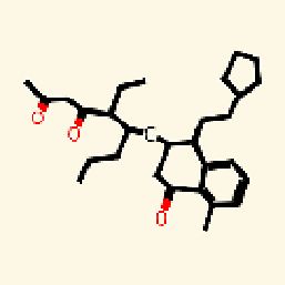 CCCC(CC1CC(=O)c2c(C)cccc2C1CCC1CCCC1)C(CC)C(=O)CC(C)=O